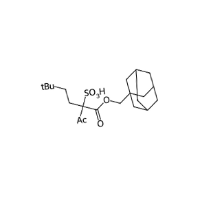 CC(=O)C(CCC(C)(C)C)(C(=O)OCC12CC3CC(CC(C3)C1)C2)S(=O)(=O)O